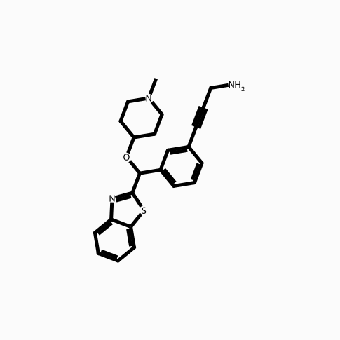 CN1CCC(OC(c2cccc(C#CCN)c2)c2nc3ccccc3s2)CC1